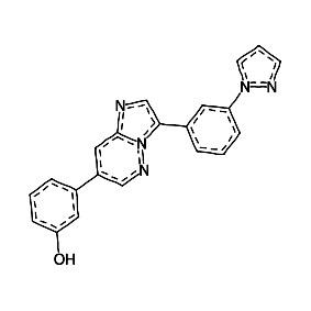 Oc1cccc(-c2cnn3c(-c4cccc(-n5cccn5)c4)cnc3c2)c1